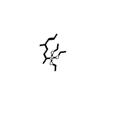 CC=CC(C)CCC(C)[Si](OCC)(OCC)OCC